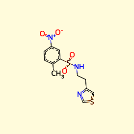 Cc1ccc([N+](=O)[O-])cc1S(=O)(=O)NCCc1cscn1